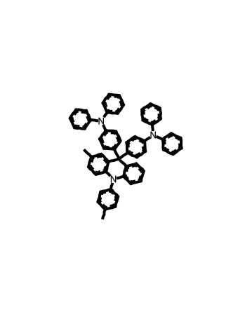 Cc1ccc(N2c3ccccc3C(c3ccc(N(c4ccccc4)c4ccccc4)cc3)(c3ccc(N(c4ccccc4)c4ccccc4)cc3)c3cc(C)ccc32)cc1